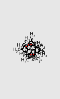 CC1=C(C)C(C)C([Si](c2c(N(C)C)cc(C)cc2N(C)C)(c2c(N(C)C)cc(C)cc2N(C)C)c2c(N(C)C)cc(C)cc2N(C)C)=C1C